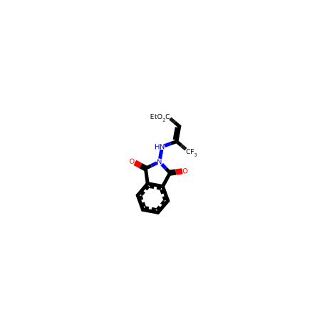 CCOC(=O)/C=C(\NN1C(=O)c2ccccc2C1=O)C(F)(F)F